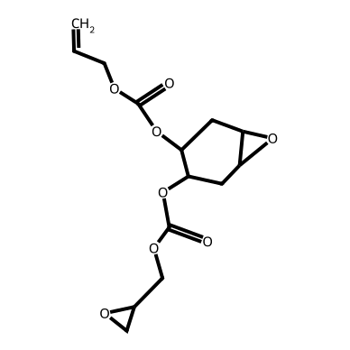 C=CCOC(=O)OC1CC2OC2CC1OC(=O)OCC1CO1